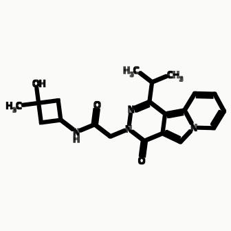 CC(C)c1nn(CC(=O)NC2CC(C)(O)C2)c(=O)c2cn3ccccc3c12